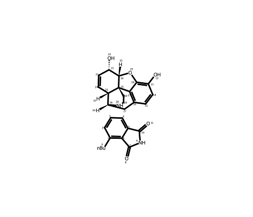 CCCCc1cccc2c1C(=O)NC2=O.Oc1ccc2c3c1O[C@H]1[C@@H](O)C=C[C@H]4[C@@H](C2)NCC[C@@]341